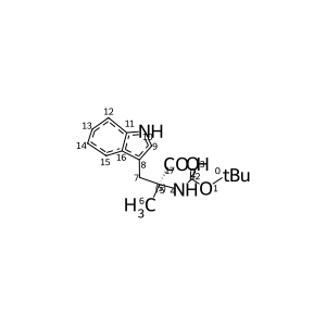 CC(C)(C)OC(=O)N[C@@](C)(Cc1c[nH]c2ccccc12)C(=O)O